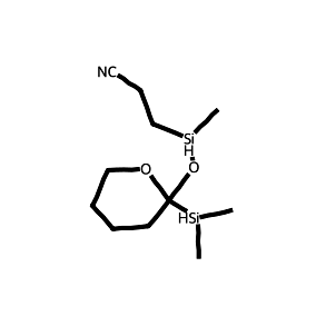 C[SiH](CCC#N)OC1([SiH](C)C)CCCCO1